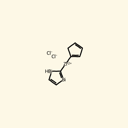 C1=CC[C]([Zr+2][C]2=[Bi][CH]=[CH][BiH]2)=C1.[Cl-].[Cl-]